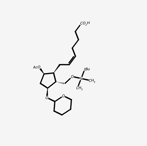 CC(=O)O[C@@H]1C[C@H](OC2CCCCO2)[C@@H](CO[Si](C)(C)C(C)(C)C)[C@@H]1C/C=C\CCCC(=O)O